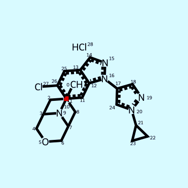 CN1CC2COCC(C1)N2c1cc2c(cnn2-c2cnn(C3CC3)c2)cc1Cl.Cl